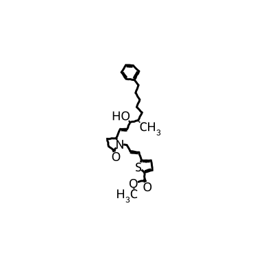 COC(=O)c1ccc(C=CCN2C(=O)CCC2C=C[C@@H](O)[C@@H](C)CCCCCc2ccccc2)s1